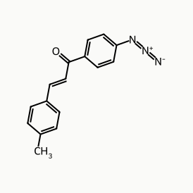 Cc1ccc(C=CC(=O)c2ccc(N=[N+]=[N-])cc2)cc1